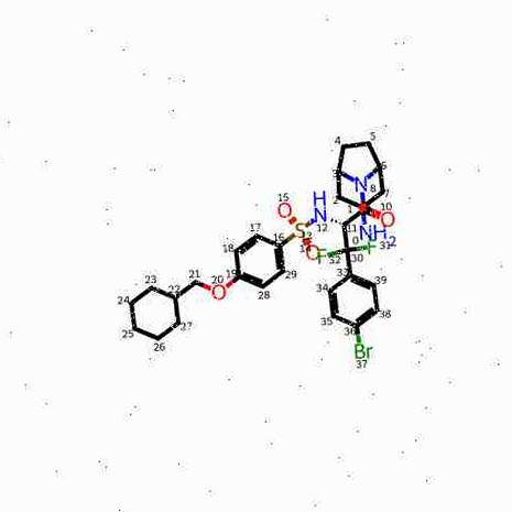 NC1CC2CCC(C1)N2C(=O)[C@@H](NS(=O)(=O)c1ccc(OCC2CCCCC2)cc1)C(F)(F)c1ccc(Br)cc1